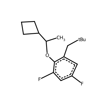 CC(Oc1c(F)cc(F)cc1CC(C)(C)C)C1CCC1